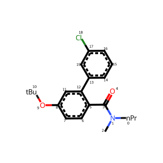 [CH2]CCN(C)C(=O)c1ccc(OC(C)(C)C)cc1-c1cccc(Cl)c1